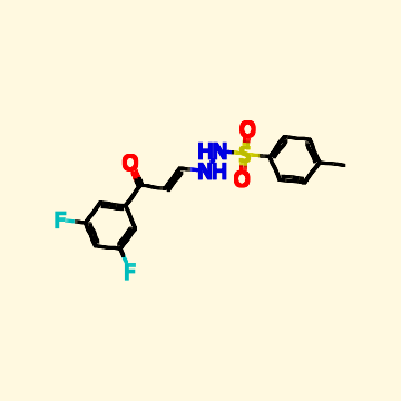 Cc1ccc(S(=O)(=O)NN/C=C/C(=O)c2cc(F)cc(F)c2)cc1